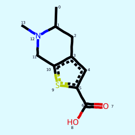 CC1Cc2cc(C(=O)O)sc2CN1C